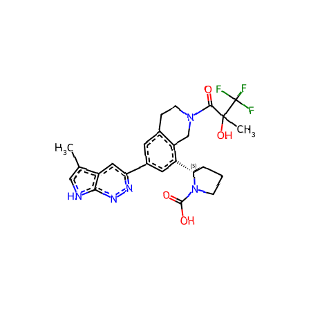 Cc1c[nH]c2nnc(-c3cc4c(c([C@@H]5CCCN5C(=O)O)c3)CN(C(=O)C(C)(O)C(F)(F)F)CC4)cc12